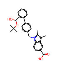 Cc1c(C)n(Cc2ccc(-c3ccccc3C(O)OC(C)(C)C)cc2)c2ccc(C(=O)O)cc12